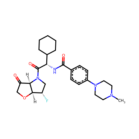 CN1CCN(c2ccc(C(=O)N[C@H](C(=O)N3C[C@H](F)[C@H]4OCC(=O)[C@H]43)C3CCCCC3)cc2)CC1